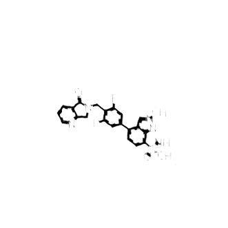 Cn1cc2c(-c3cc(F)c(CN4Cc5ncccc5C4=O)c(F)c3)ccc(S(C)(=N)=O)c2n1